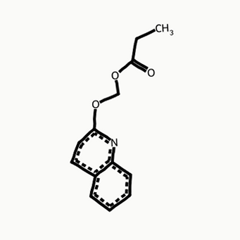 CCC(=O)OCOc1ccc2ccccc2n1